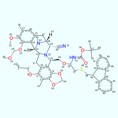 C=CCOc1c(C)c2c(c3c1CC1[C@@H]4c5c(cc(C)c(OC)c5OCOC)C[C@H]([C@H](C#N)N1[C@H]3COC(CSCC1c3ccccc3-c3ccccc31)NC(=O)OC(C)(C)C)N4C)OCO2